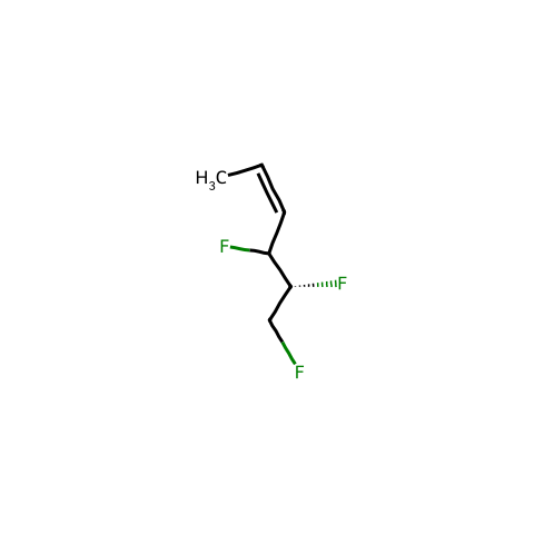 C/C=C\C(F)[C@H](F)CF